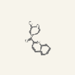 O=C(c1ccc2ccccc2n1)N1CCOC(Cl)C1